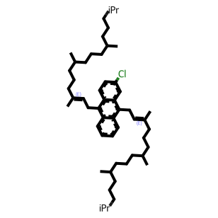 C/C(=C\Cc1c2ccccc2c(C/C=C(\C)CCCC(C)CCCC(C)CCCC(C)C)c2cc(Cl)ccc12)CCCC(C)CCCC(C)CCCC(C)C